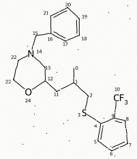 CC(CSc1ccccc1C(F)(F)F)CC1CN(Cc2ccccc2)CCO1